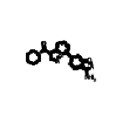 Nc1noc2cc(-c3cccc4c(C(=O)N5CCCCC5)cnn34)ccc12